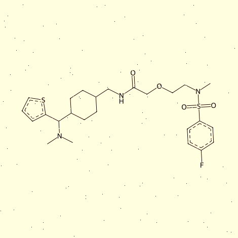 CN(C)C(c1cccs1)C1CCC(CNC(=O)COCCN(C)S(=O)(=O)c2ccc(F)cc2)CC1